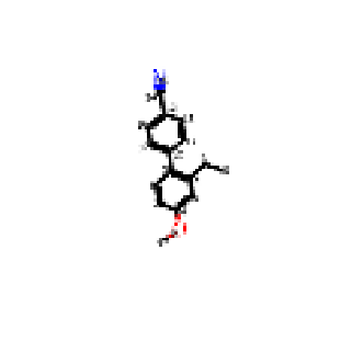 CCc1cc(OC)ccc1-c1ccc(C#N)cc1